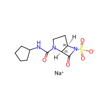 O=C(NC1CCCC1)N1CC[C@@H]2[C@H]1C(=O)N2S(=O)(=O)[O-].[Na+]